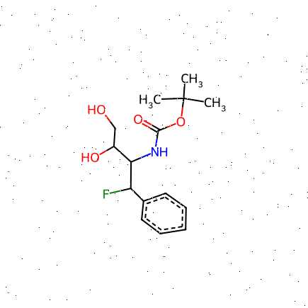 CC(C)(C)OC(=O)NC(C(O)CO)C(F)c1ccccc1